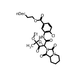 CCCCCCCCCCCCOC(=O)c1ccc(Cl)c(NC(=O)C(C(=O)C(C)(C)OCC)N2C(=O)C3CCCCN3C2=O)c1